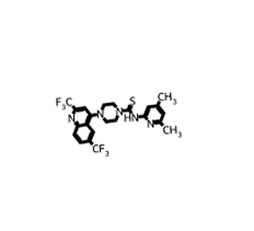 Cc1cc(C)nc(NC(=S)N2CCN(c3cc(C(F)(F)F)nc4ccc(C(F)(F)F)cc34)CC2)c1